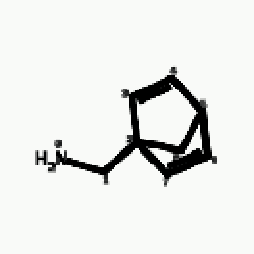 NCC12C=CC(C=C1)C2